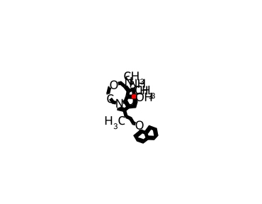 Cc1ccc2c(C(C)CCOc3cccc4ccccc34)cn3c2c1C1=C(COCCCC3)N(C)NC1(C)C(=O)O